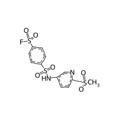 CS(=O)(=O)c1ccc(NS(=O)(=O)c2ccc(S(=O)(=O)F)cc2)cn1